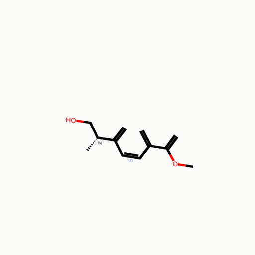 C=C(/C=C\C(=C)[C@H](C)CO)C(=C)OC